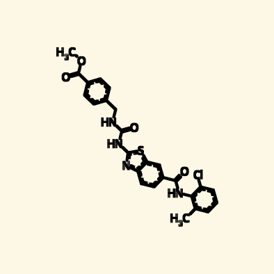 COC(=O)c1ccc(CNC(=O)Nc2nc3ccc(C(=O)Nc4c(C)cccc4Cl)cc3s2)cc1